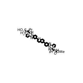 COC(=O)N[C@H](C(=O)N1CCC[C@H]1c1nc2cc(-c3ccc4nc(-c5ccc6[nH]c([C@@H]7CCCN7C(=O)[C@H](C(C)C)N(C)C(=O)O)nc6c5)ccc4c3)ccc2[nH]1)C(C)C